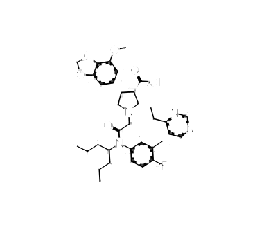 CCCC(CCC)N(C(=O)CN1C[C@H](c2cc(OC)c3c(c2)OCO3)[C@@H](C(=O)O)[C@@H]1CCc1ccncn1)c1ccc(F)c(C)c1